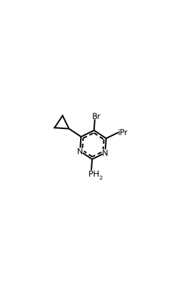 CC(C)c1nc(P)nc(C2CC2)c1Br